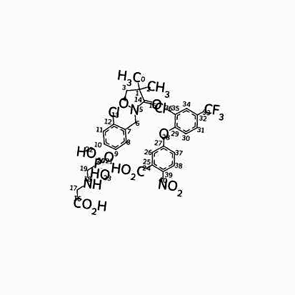 CC1(C)CON(Cc2ccccc2Cl)C1=O.O=C(O)CNCP(=O)(O)O.O=C(O)c1cc(Oc2ccc(C(F)(F)F)cc2Cl)ccc1[N+](=O)[O-]